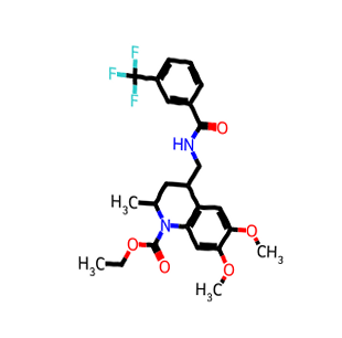 CCOC(=O)N1c2cc(OC)c(OC)cc2C(CNC(=O)c2cccc(C(F)(F)F)c2)CC1C